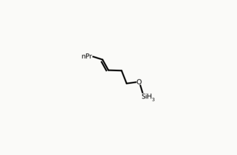 CCCC=CCCO[SiH3]